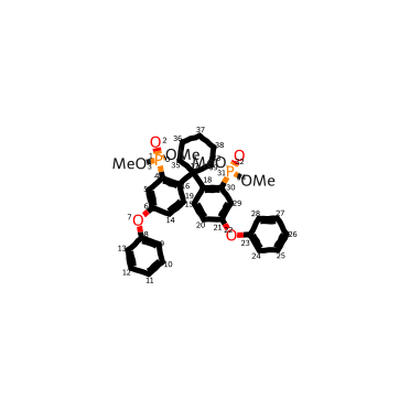 COP(=O)(OC)c1cc(Oc2ccccc2)ccc1C1(c2ccc(Oc3ccccc3)cc2P(=O)(OC)OC)CCCCC1